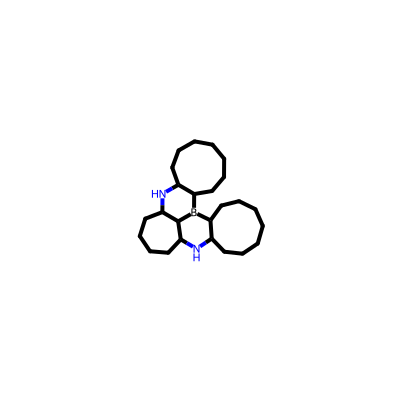 C1CCCC2NC3CCCCC4NC5CCCCCCCC5B(C2CCC1)C34